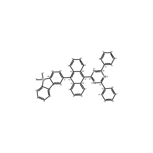 C[Si]1(C)c2ccccc2-c2cc(-c3c4ccccc4c(-c4nc(-c5ccccc5)nc(-c5ccccc5)n4)c4ccccc34)ccc21